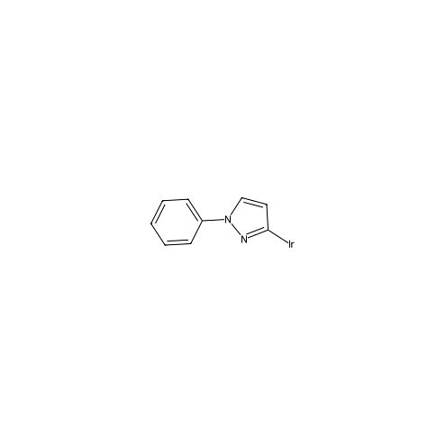 [Ir][c]1ccn(-c2ccccc2)n1